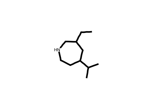 CCC1CNCCC(C(C)C)C1